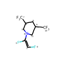 F/C=C(/F)N1CC(C(F)(F)F)CC(C(F)(F)F)C1